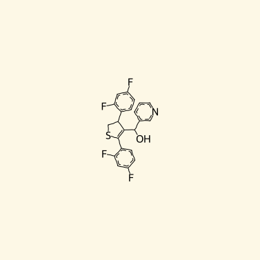 OC(C1=C(c2ccc(F)cc2F)SCC1c1ccc(F)cc1F)c1cccnc1